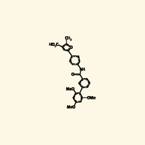 COc1cc(OC)c(-c2cccc(C(=O)Nc3ccc(-c4cc(C(=O)O)c(C)o4)cc3)c2)c(OC)c1